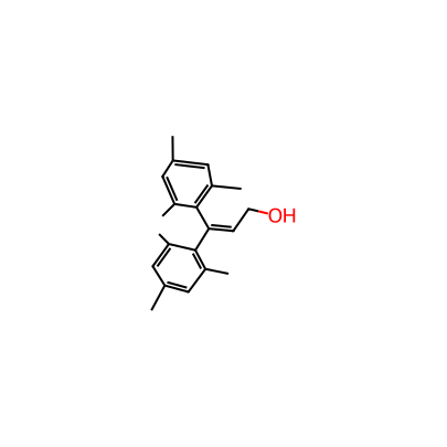 Cc1cc(C)c(C(=CCO)c2c(C)cc(C)cc2C)c(C)c1